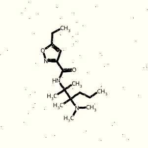 CCCC(C)(N(C)C)C(C)(C)NC(=O)c1cc(CC)on1